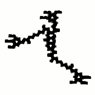 COc1cc(C=CC(=O)OCCOCCN(C)CC(Cc2c(C)c3ccc(NC(=O)N(C)CCOCCOC(=O)C=Cc4cc(OC)c(OC)c(OC)c4)cc3oc2=O)OC(=O)C=Cc2cc(OC)c(OC)c(OC)c2)cc(OC)c1OC